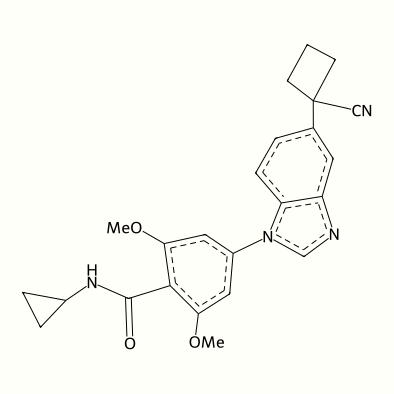 COc1cc(-n2cnc3cc(C4(C#N)CCC4)ccc32)cc(OC)c1C(=O)NC1CC1